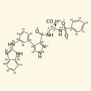 O=C(NC[C@H](NS(=O)(=O)c1ccccc1)C(=O)O)c1n[nH]cc1-c1cccc(Nc2nc3ccccc3[nH]2)c1